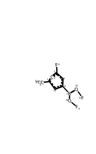 Cc1cc(F)cc(B(OF)OF)c1